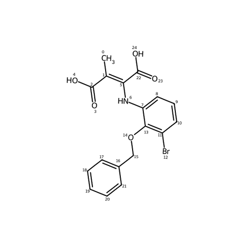 CC(C(=O)O)=C(Nc1cccc(Br)c1OCc1ccccc1)C(=O)O